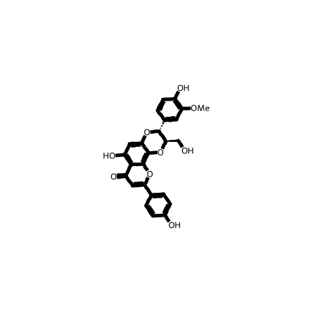 COc1cc([C@H]2Oc3cc(O)c4c(=O)cc(-c5ccc(O)cc5)oc4c3O[C@@H]2CO)ccc1O